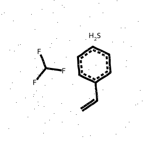 C=Cc1ccccc1.FC(F)F.S